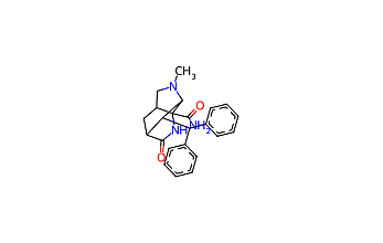 CN1CC2CC3C(=O)NC2(C(N)=O)C1C3C(c1ccccc1)c1ccccc1